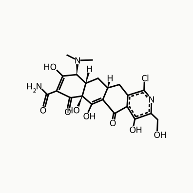 CN(C)[C@@H]1C(O)=C(C(N)=O)C(=O)[C@@]2(O)C(O)=C3C(=O)c4c(O)c(CO)nc(Cl)c4C[C@H]3C[C@@H]12